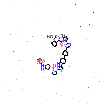 CN(C(=O)O)[C@@H](C(=O)N1CCC[C@H]1c1ncc(-c2ccc(-c3ccc(-c4cnc([C@@H]5CCCN5C(=O)[C@H]5CC[C@@H](NC(=O)OC(C)(C)C)CC5)[nH]4)cc3)cc2)[nH]1)c1ccccc1